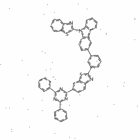 c1ccc(-c2nc(-c3ccccc3)nc(-c3ccc4nc(-c5cccc(-c6ccc7c(c6)c6ccccc6n7-c6nc7ccccc7s6)c5)sc4c3)n2)cc1